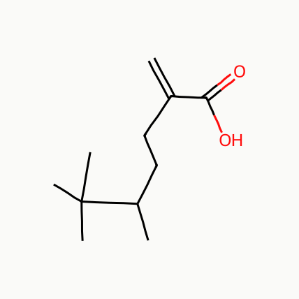 C=C(CCC(C)C(C)(C)C)C(=O)O